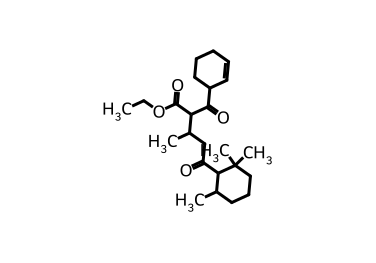 CCOC(=O)C(C(=O)C1C=CCCC1)C(C)CC(=O)C1C(C)CCCC1(C)C